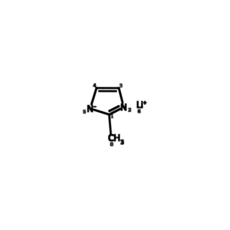 Cc1ncc[n-]1.[Li+]